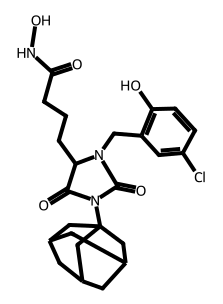 O=C(CCCC1C(=O)N(C23CC4CC(CC(C4)C2)C3)C(=O)N1Cc1cc(Cl)ccc1O)NO